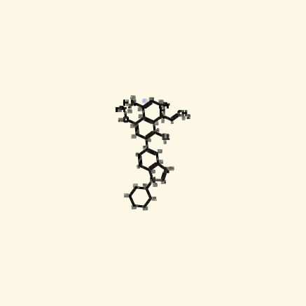 C=CNc1c(CC)c(-c2ccc3c(c2)ncn3C2CCCCC2)cc(OCCC)c1/C(N)=C\CCC